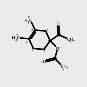 CC(=O)OC1(C(C)=O)CCC(C)=C(C)C1